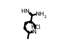 Cc1ccc(C(=N)N)cn1.Cl